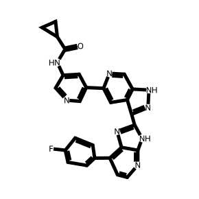 O=C(Nc1cncc(-c2cc3c(-c4nc5c(-c6ccc(F)cc6)ccnc5[nH]4)n[nH]c3cn2)c1)C1CC1